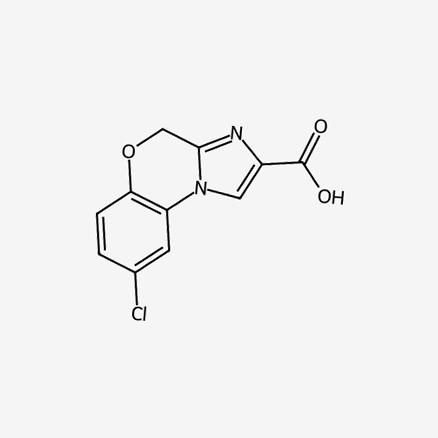 O=C(O)c1cn2c(n1)COc1ccc(Cl)cc1-2